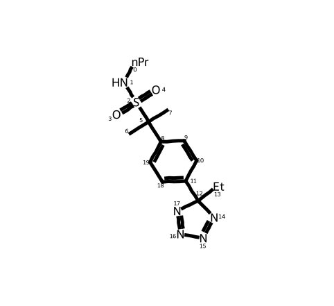 CCCNS(=O)(=O)C(C)(C)c1ccc(C2(CC)N=NN=N2)cc1